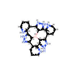 Cc1[nH]nc(-c2cccnc2)c1B(c1c(-c2cccnc2)n[nH]c1C)c1c(-c2cccnc2)n[nH]c1C